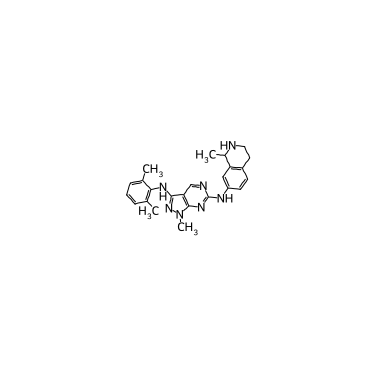 Cc1cccc(C)c1Nc1nn(C)c2nc(Nc3ccc4c(c3)C(C)NCC4)ncc12